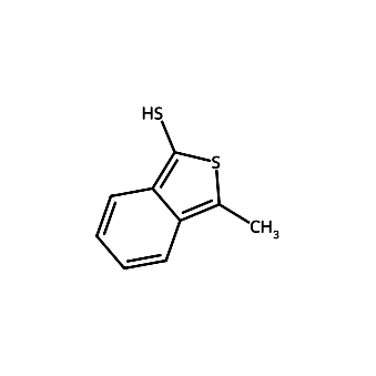 Cc1sc(S)c2ccccc12